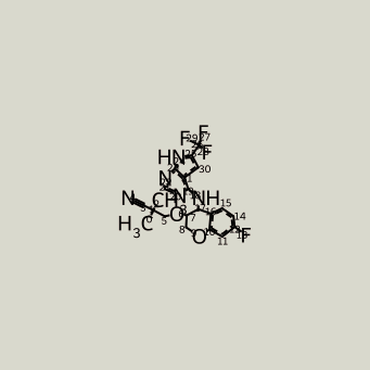 CC(C)(C#N)COC1COc2cc(F)ccc2C1Nc1ncnc2[nH]c(C(F)(F)F)cc12